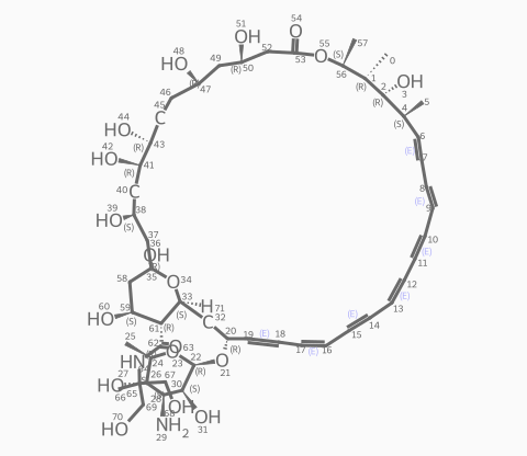 C[C@@H]1[C@H](O)[C@@H](C)/C=C/C=C/C=C/C=C/C=C/C=C/C=C/[C@H](O[C@@H]2O[C@H](C)[C@@H](O)[C@H](N)[C@@H]2O)C[C@@H]2O[C@](O)(C[C@@H](O)C[C@@H](O)[C@H](O)CC[C@@H](O)C[C@@H](O)CC(=O)O[C@H]1C)C[C@H](O)[C@H]2C(=O)NC(C)(CO)CO